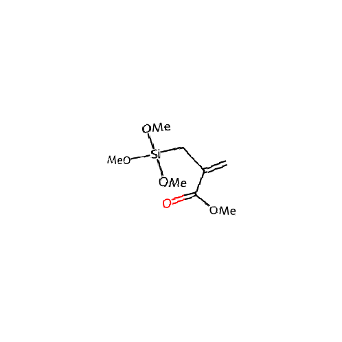 C=C(C[Si](OC)(OC)OC)C(=O)OC